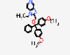 [CH2]Cn1c(COC(c2ccccc2)(c2ccc(OC)cc2)c2ccc(OC)cc2)nc2cnccc21